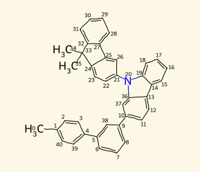 Cc1ccc(-c2cccc(-c3ccc4c5ccccc5n(-c5ccc6c(c5)-c5ccccc5C6(C)C)c4c3)c2)cc1